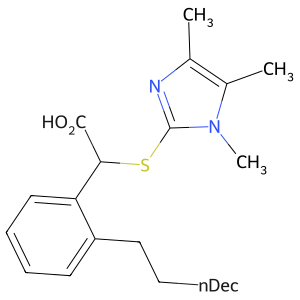 CCCCCCCCCCCCc1ccccc1C(Sc1nc(C)c(C)n1C)C(=O)O